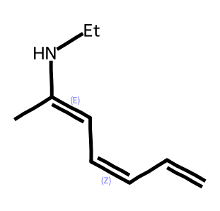 C=C/C=C\C=C(/C)NCC